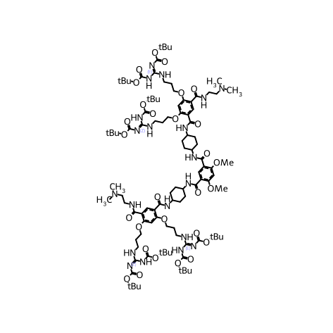 COc1cc(OC)c(C(=O)NC2CCC(NC(=O)c3cc(C(=O)NCCN(C)C)c(OCCCN/C(=N/C(=O)OC(C)(C)C)NC(=O)OC(C)(C)C)cc3OCCCN/C(=N\C(=O)OC(C)(C)C)NC(=O)OC(C)(C)C)CC2)cc1C(=O)NC1CCC(NC(=O)c2cc(C(=O)NCCN(C)C)c(OCCCN/C(=N\C(=O)OC(C)(C)C)NC(=O)OC(C)(C)C)cc2OCCCN/C(=N/C(=O)OC(C)(C)C)NC(=O)OC(C)(C)C)CC1